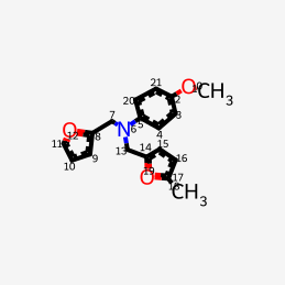 COc1ccc(N(Cc2ccco2)Cc2ccc(C)o2)cc1